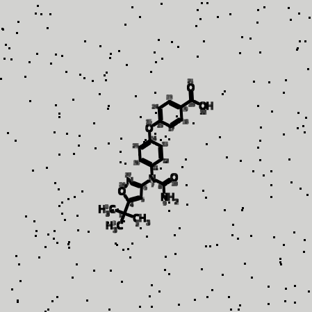 CC(C)(C)c1cc(N(C(N)=O)c2ccc(Oc3ccc(C(=O)O)cc3)cc2)no1